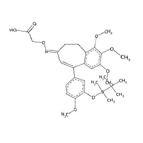 COc1ccc(C2=C/C(=N/OCC(=O)O)CCc3c2cc(OC)c(OC)c3OC)cc1O[Si](C)(C)C(C)(C)C